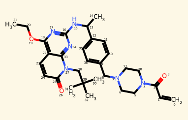 C=CC(=O)N1CCN(Cc2ccc(C(C)Nc3nc(OCC)c4ccc(=O)n(CC(C)(C)C)c4n3)cc2)CC1